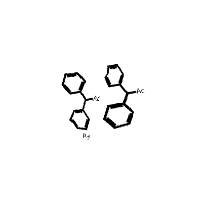 CC(=O)C(c1ccccc1)c1ccccc1.CC(=O)C(c1ccccc1)c1ccccc1.[Pd]